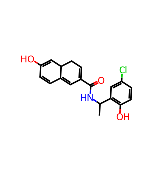 CC(NC(=O)C1=CCC2C=C(O)C=CC2=C1)c1cc(Cl)ccc1O